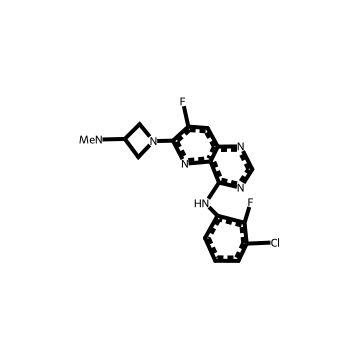 CNC1CN(c2nc3c(Nc4cccc(Cl)c4F)ncnc3cc2F)C1